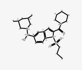 CCCS(=O)(=O)n1c(C(=O)N2CCCCC2)cc2cc([S+]([O-])N3CC(C)CC(C)C3)ccc21